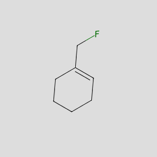 FCC1=CCCCC1